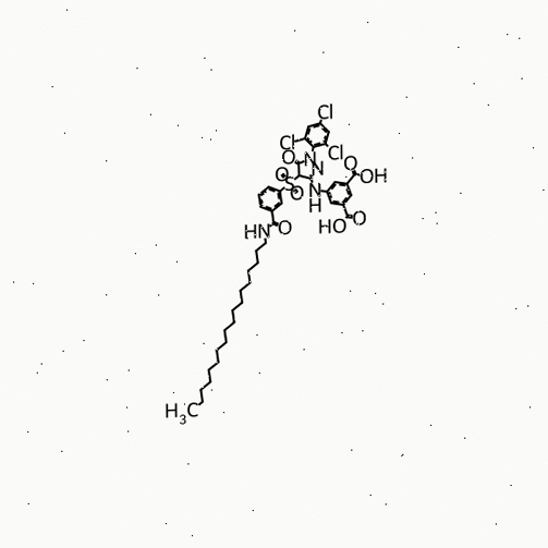 CCCCCCCCCCCCCCCCCCNC(=O)c1cccc(S(=O)(=O)C2C(=O)N(c3c(Cl)cc(Cl)cc3Cl)N=C2Nc2cc(C(=O)O)cc(C(=O)O)c2)c1